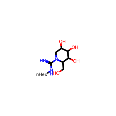 CCCCCCNC(=N)N1CC(O)C(O)C(O)C1CO